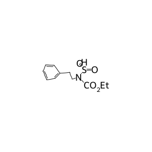 CCOC(=O)N(CCc1ccccc1)[SH](=O)=O